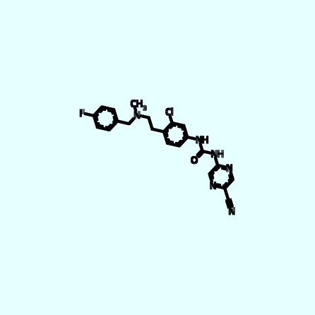 CN(CCc1ccc(NC(=O)Nc2cnc(C#N)cn2)cc1Cl)Cc1ccc(F)cc1